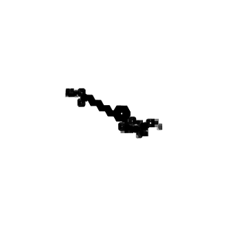 COC(=O)CCCCCCc1cccc(S(=O)(=O)Nc2nc(C)ns2)c1